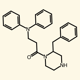 O=C(CCN(c1ccccc1)c1ccccc1)N1CCNCC1Cc1ccccc1